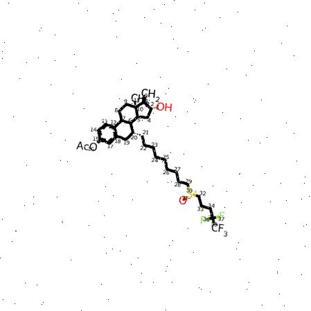 C=C1[C@H](O)CC2C3C(CC[C@]12C)c1ccc(OC(C)=O)cc1C[C@H]3CCCCCCCCC[S+]([O-])CCCC(F)(F)C(F)(F)F